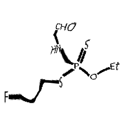 CCOP(=S)(NC=O)SCCF